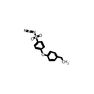 [CH2]Cc1ccc(Oc2ccc(S(=O)(=O)N=[N+]=[N-])cc2)cc1